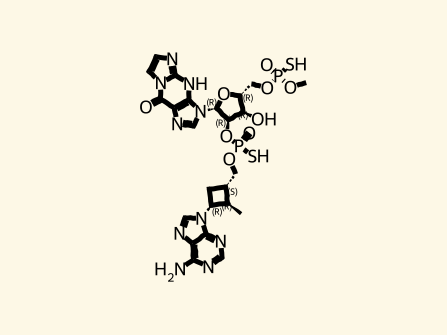 COP(=O)(S)OC[C@H]1O[C@@H](n2cnc3c(=O)n4ccnc4[nH]c32)[C@H](OP(=O)(S)OC[C@H]2C[C@@H](n3cnc4c(N)ncnc43)[C@@H]2C)[C@@H]1O